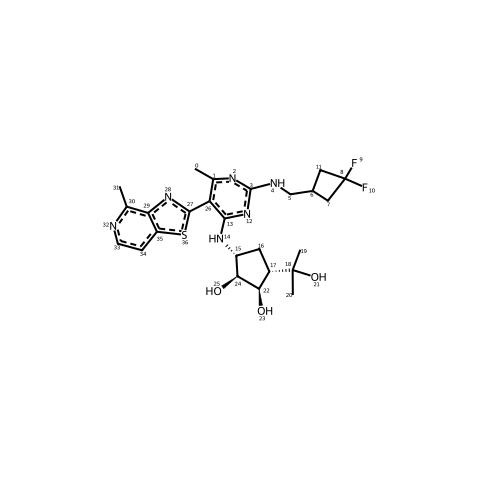 Cc1nc(NCC2CC(F)(F)C2)nc(N[C@@H]2C[C@H](C(C)(C)O)[C@@H](O)[C@H]2O)c1-c1nc2c(C)nccc2s1